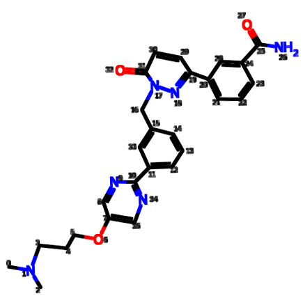 CN(C)CCCOc1cnc(-c2cccc(Cn3nc(-c4cccc(C(N)=O)c4)ccc3=O)c2)nc1